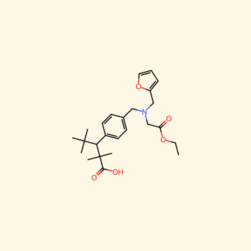 CCOC(=O)CN(Cc1ccc(C(C(C)(C)C)C(C)(C)C(=O)O)cc1)Cc1ccco1